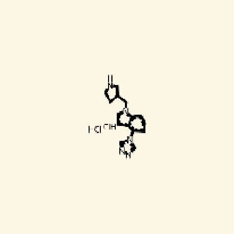 Cl.Cl.c1cc(-n2cnnc2)c2ccn(CC3CCNC3)c2c1